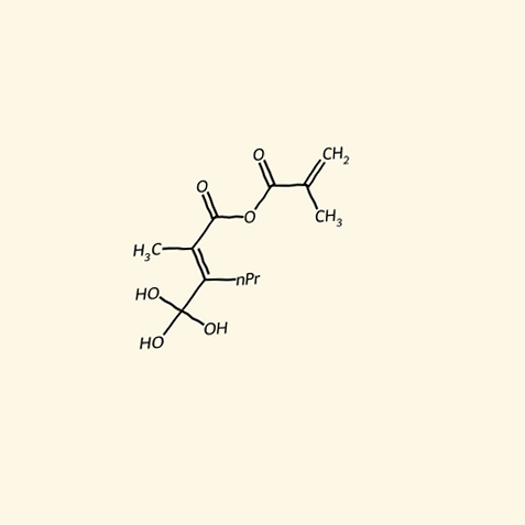 C=C(C)C(=O)OC(=O)C(C)=C(CCC)C(O)(O)O